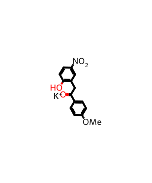 COc1ccc(C(=O)Cc2cc([N+](=O)[O-])ccc2O)cc1.[K+]